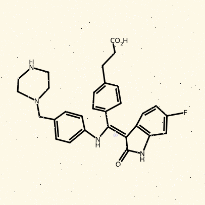 O=C(O)CCc1ccc(/C(Nc2ccc(CN3CCNCC3)cc2)=C2/C(=O)Nc3cc(F)ccc32)cc1